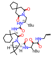 C=CCNC(=O)C(=O)C(CCCC)NC(=O)[C@@H]1[C@@H]2[C@H](CN1C(=O)[C@@H](NC(=O)N[C@H](CN1C(=O)CC3(CCCC3)CC1=O)C(C)(C)C)C1(C)CCCCC1)C2(C)C